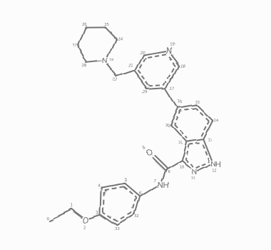 CCOc1ccc(NC(=O)c2n[nH]c3ccc(-c4cncc(CN5CCCCC5)c4)cc23)cc1